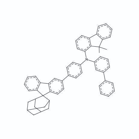 CC1(C)c2ccccc2-c2cccc(N(c3ccc(-c4ccc5c(c4)-c4ccccc4C54C5CC6CC(C5)CC4C6)cc3)c3cccc(-c4ccccc4)c3)c21